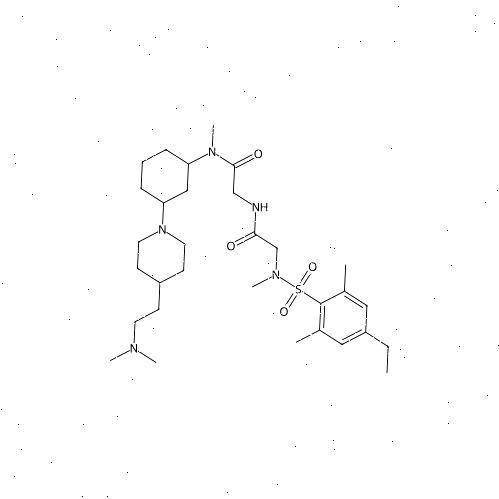 CCc1cc(C)c(S(=O)(=O)N(C)CC(=O)NCC(=O)N(C)C2CCCC(N3CCC(CCN(C)C)CC3)C2)c(C)c1